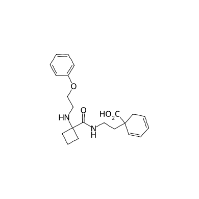 O=C(O)C1(CCNC(=O)C2(NCCOc3ccccc3)CCC2)C=CC=CC1